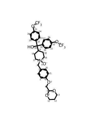 [O-][N+]1(Cc2ccc(OCC3OCCCO3)cc2)CCC(C(O)(c2ccc(OC(F)(F)F)cc2)c2ccc(OC(F)(F)F)cc2)CC1